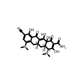 CN(C)c1cc(C#N)c(O)c2c1C[C@H]1C[C@H]3[C@H](N(C)C)C(O)=C(C(N)=O)C(=O)C3(O)C(O)=C1C2=O